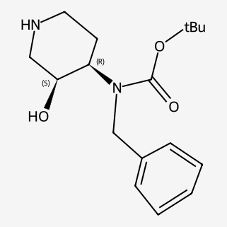 CC(C)(C)OC(=O)N(Cc1ccccc1)[C@@H]1CCNC[C@@H]1O